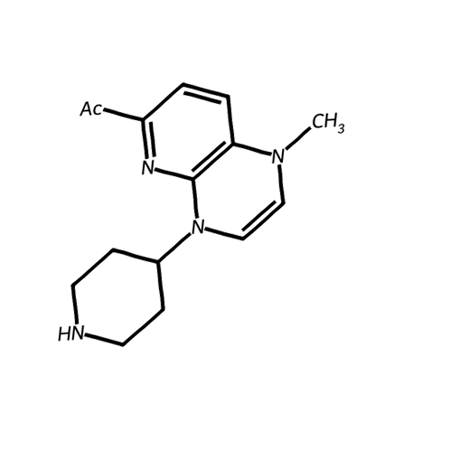 CC(=O)c1ccc2c(n1)N(C1CCNCC1)C=CN2C